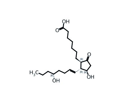 CCC[C@@H](O)CCC=C[C@H]1[C@H](O)CC(=O)[C@@H]1CCCCCCC(=O)O